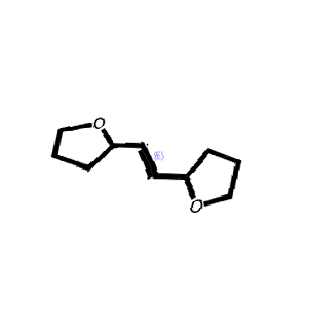 [C](=C\C1CCCO1)/C1CCCO1